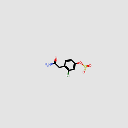 NC(=O)Cc1ccc(O[SH](=O)=O)cc1Cl